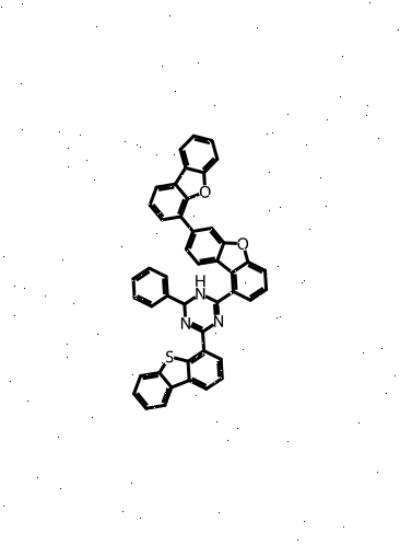 c1ccc(C2N=C(c3cccc4c3sc3ccccc34)N=C(c3cccc4oc5cc(-c6cccc7c6oc6ccccc67)ccc5c34)N2)cc1